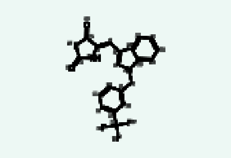 O=C1NC(=Cc2cn(Cc3cccc(C(F)(F)F)c3)c3ccccc23)C(=O)S1